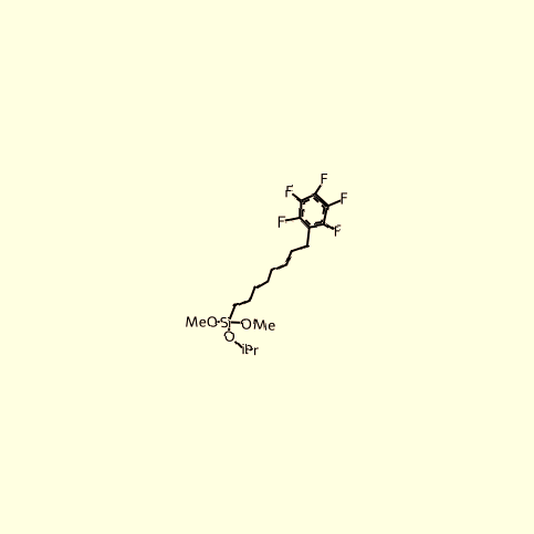 CO[Si](CCCCCCCCc1c(F)c(F)c(F)c(F)c1F)(OC)OC(C)C